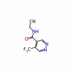 N#CCNC(=O)c1cnncc1C(F)(F)F